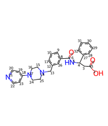 O=C(O)CC(NC(=O)c1cccc(CN2CCN(c3ccncc3)CC2)c1)c1ccccc1